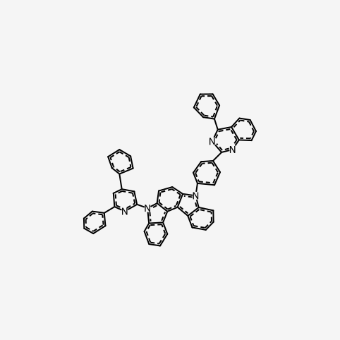 c1ccc(-c2cc(-c3ccccc3)nc(-n3c4ccccc4c4c5c6ccccc6n(-c6ccc(-c7nc(-c8ccccc8)c8ccccc8n7)cc6)c5ccc43)c2)cc1